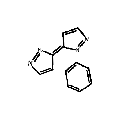 C1=CC(=C2C=CN=N2)N=N1.c1ccccc1